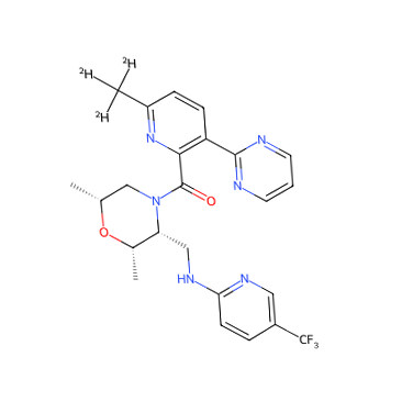 [2H]C([2H])([2H])c1ccc(-c2ncccn2)c(C(=O)N2C[C@@H](C)O[C@@H](C)[C@H]2CNc2ccc(C(F)(F)F)cn2)n1